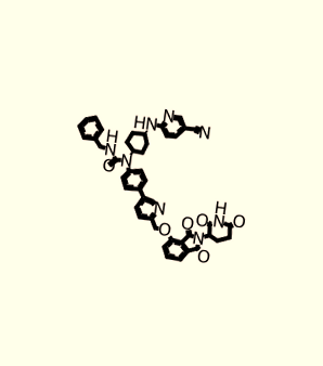 N#Cc1ccc(N[C@H]2CC[C@H](N(C(=O)NCc3ccccc3)c3ccc(-c4ccc(COc5cccc6c5C(=O)N(C5CCC(=O)NC5=O)C6=O)nc4)cc3)CC2)nc1